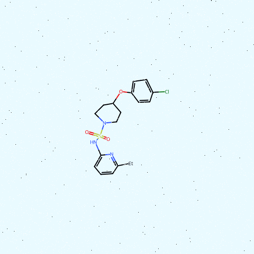 CCc1cccc(NS(=O)(=O)N2CCC(Oc3ccc(Cl)cc3)CC2)n1